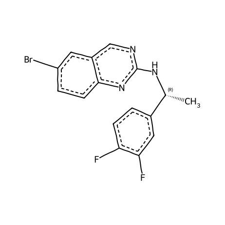 C[C@@H](Nc1ncc2cc(Br)ccc2n1)c1ccc(F)c(F)c1